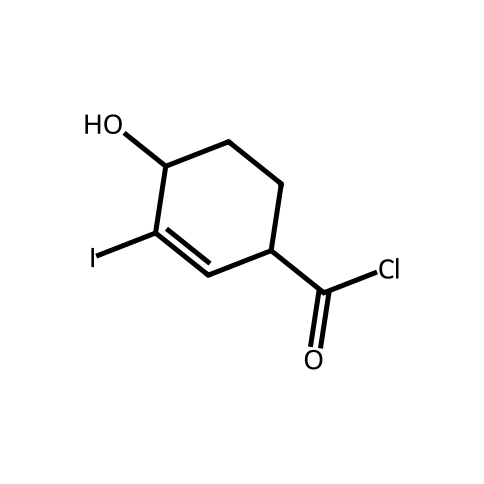 O=C(Cl)C1C=C(I)C(O)CC1